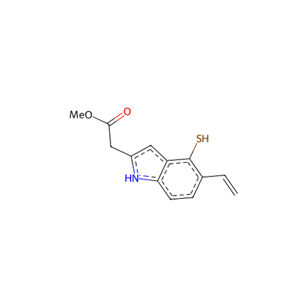 C=Cc1ccc2[nH]c(CC(=O)OC)cc2c1S